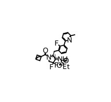 CCS(=O)(=O)N[C@@H]1[C@H](Cc2cccc(-c3cccc(C)n3)c2F)N(C(=O)C23CC(C2)C3)CC1(F)F